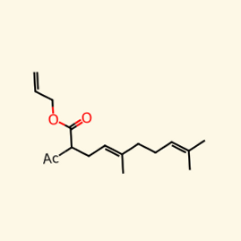 C=CCOC(=O)C(C/C=C(\C)CCC=C(C)C)C(C)=O